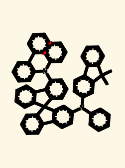 CC1(C)c2ccccc2-c2ccc(N(c3ccccc3)c3ccc4c(c3)C3(c5ccccc5-4)c4ccccc4-c4c(N(c5ccccc5)c5ccccc5-c5ccccc5)cccc43)cc21